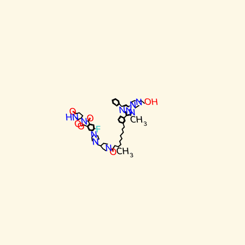 Cc1nn2c(N3CCN(CCO)CC3)cc(-c3ccccc3)nc2c1-c1cccc(CCCCCCCC(C)CC(=O)N2CCC(CN3CCN(c4cc5c(cc4F)C(=O)N(C4CCC(=O)NC4=O)C5=O)CC3)CC2)c1